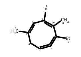 CCC1=C=CC/C(C)=C\C(F)=C/1C